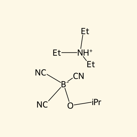 CC(C)O[B-](C#N)(C#N)C#N.CC[NH+](CC)CC